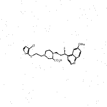 COc1ccc2nccc([C@H](F)CC[C@@H]3CCN(CCSc4sccc4Cl)C[C@@H]3C(=O)O)c2c1